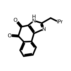 CC(C)Cc1nc2c([nH]1)C(=O)C(=O)c1ccccc1-2